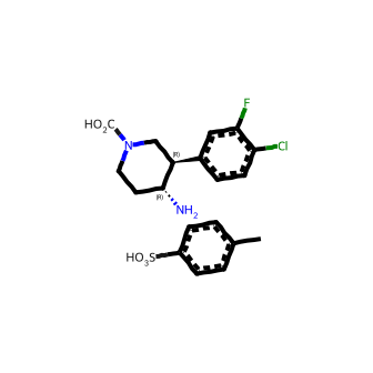 Cc1ccc(S(=O)(=O)O)cc1.N[C@@H]1CCN(C(=O)O)C[C@H]1c1ccc(Cl)c(F)c1